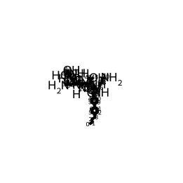 CCCCc1ccc(-c2ccc(C(=O)N[C@@H](CCCCN)C(=O)N[C@H](C(=O)N[C@@H](N)C(=O)NC(CC(N)=O)C(=O)N[C@@H](N)B(O)O)C(C)O)cc2)cc1